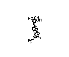 C=C1[C@H](O)CC(=C/C=C2\CCC[C@]3(C)[C@@H]([C@H](C)CN4CC[C@@H](CCC(F)F)C4)CC[C@@H]23)C[C@H]1O